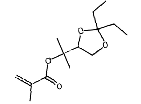 C=C(C)C(=O)OC(C)(C)C1COC(CC)(CC)O1